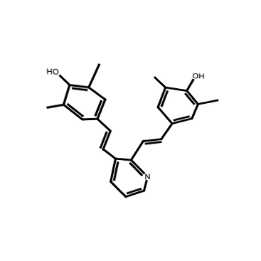 Cc1cc(/C=C/c2cccnc2/C=C/c2cc(C)c(O)c(C)c2)cc(C)c1O